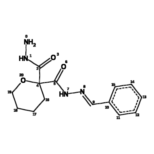 NNC(=O)C1(C(=O)NN=Cc2ccccc2)CCCCO1